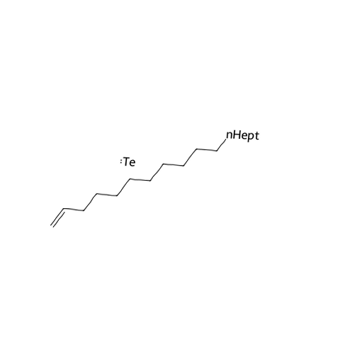 C=CCCCCCCCCCCCCCCCC.[Te]